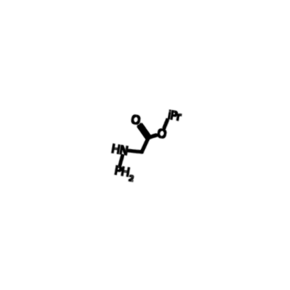 CC(C)OC(=O)CNP